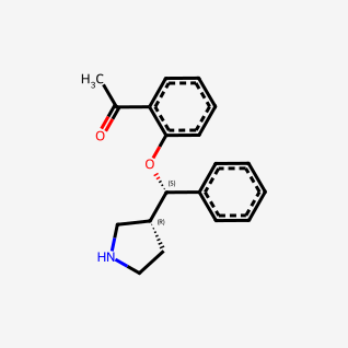 CC(=O)c1ccccc1O[C@H](c1ccccc1)[C@@H]1CCNC1